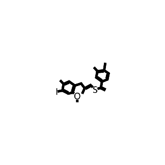 C=C(S/C=C(\C)Cc1cc(C)c(I)cc1OC)c1ccc(C)c(C)c1